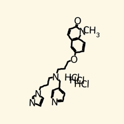 Cl.Cl.Cl.Cn1c(=O)ccc2cc(OCCCN(CCCn3ccnc3)Cc3ccncc3)ccc21